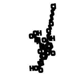 O=C(NCCOCCOCCCCCCCl)c1ccc2c(c1)C1(OC2=O)c2ccc(N3CC(C(=O)O)C3)cc2Oc2cc(N3CC(C(=O)O)C3)ccc21